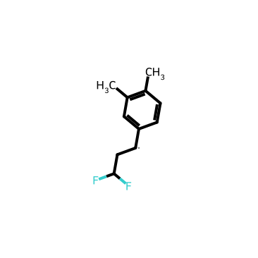 Cc1ccc([CH]CC(F)F)cc1C